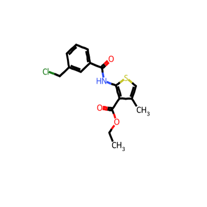 CCOC(=O)c1c(C)csc1NC(=O)c1cccc(CCl)c1